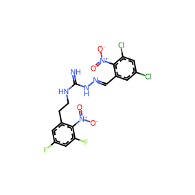 N=C(NCCc1cc(F)cc(F)c1[N+](=O)[O-])N/N=C/c1cc(Cl)cc(Cl)c1[N+](=O)[O-]